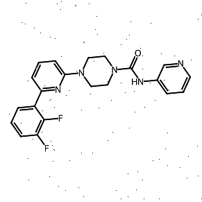 O=C(Nc1cccnc1)N1CCN(c2cccc(-c3cccc(F)c3F)n2)CC1